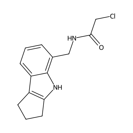 O=C(CCl)NCc1cccc2c3c([nH]c12)CCC3